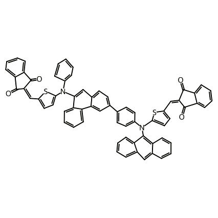 O=C1C(=Cc2ccc(N(c3ccc(-c4ccc5cc(N(c6ccccc6)c6ccc(C=C7C(=O)c8ccccc8C7=O)s6)c6ccccc6c5c4)cc3)c3c4ccccc4cc4ccccc34)s2)C(=O)c2ccccc21